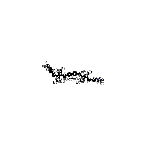 CCCCCCCCC(CCCCCCCC)n1c2cc(-c3ccc(C4=C5C(=O)N(CC(CC)CCCC)C(c6ccc(-c7ccc(/C=C8/SC(=S)N(CC)C8=O)s7)s6)=C5C(=O)N4CC(CC)CCCC)s3)ccc2c2ccc(-c3ccc(C4=C5C(=O)N(CC(CC)CCCC)C(c6ccc(-c7ccc(/C=C8/SC(=S)N(CC)C8O)s7)s6)=C5C(=O)N4CC(CC)CCCC)s3)cc21